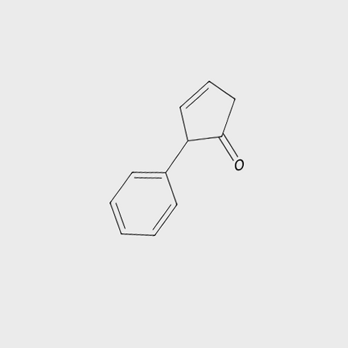 O=C1CC=CC1c1ccccc1